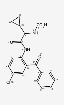 O=C(O)NC(C(=O)Nc1ccc(Cl)cc1C(=O)c1ccccc1)C1CC1